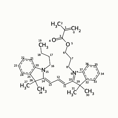 C=C(C)C(=O)OCCC[N+]1=C(C=CC=C2N(CCCC)c3ccccc3C2(C)C)C(C)(C)c2ccccc21